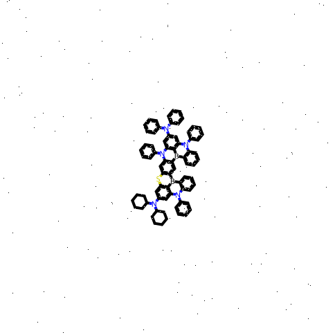 c1ccc(N(c2ccccc2)c2cc3c4c(c2)N(c2ccccc2)c2cc5c(cc2B4c2ccccc2N3c2ccccc2)B2c3ccccc3N(c3ccccc3)c3cc(N(C4CCCCC4)C4CCCCC4)cc(c32)S5)cc1